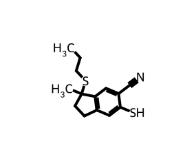 CCCSC1(C)CCc2cc(S)c(C#N)cc21